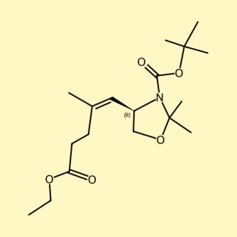 CCOC(=O)CCC(C)=C[C@@H]1COC(C)(C)N1C(=O)OC(C)(C)C